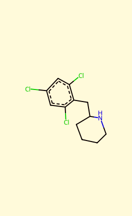 Clc1cc(Cl)c(CC2CCCCN2)c(Cl)c1